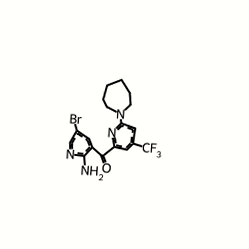 Nc1ncc(Br)cc1C(=O)c1cc(C(F)(F)F)cc(N2CCCCCC2)n1